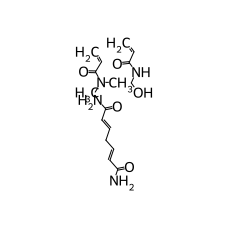 C=CC(=O)N(C)C.C=CC(=O)NCO.NC(=O)C=CCC=CC(N)=O